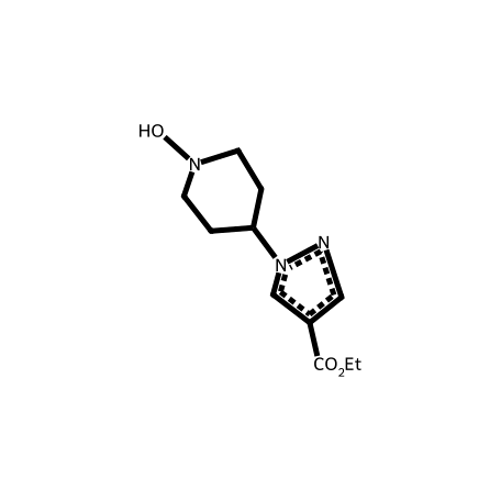 CCOC(=O)c1cnn(C2CCN(O)CC2)c1